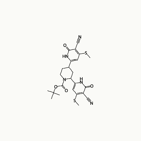 CSc1cc(C2CCN(C(=O)OC(C)(C)C)C(c3cc(SC)c(C#N)c(=O)[nH]3)C2)[nH]c(=O)c1C#N